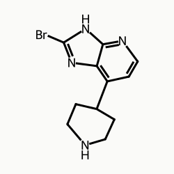 Brc1nc2c(C3CCNCC3)ccnc2[nH]1